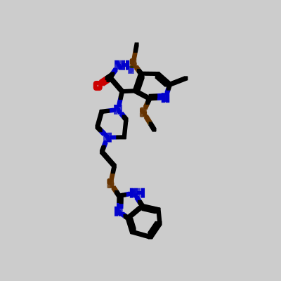 CSc1cc(C)nc(SC)c1C(C(N)=O)N1CCN(CCSc2nc3ccccc3[nH]2)CC1